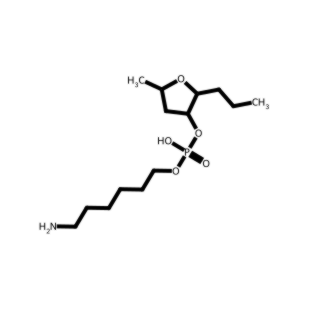 CCCC1OC(C)CC1OP(=O)(O)OCCCCCCN